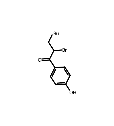 CCC(C)CC(Br)C(=O)c1ccc(O)cc1